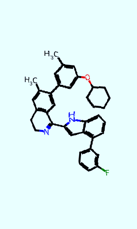 Cc1cc(OC2CCCCC2)cc(-c2cc3c(cc2C)CCN=C3c2cc3c(-c4cccc(F)c4)cccc3[nH]2)c1